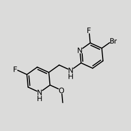 COC1NC=C(F)C=C1CNc1ccc(Br)c(F)n1